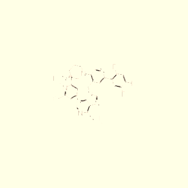 Nc1ncnc2c1ncn2Cc1cc(-c2cc(F)c(F)cc2F)ncc1N1CCC[C@](N)(c2cccc(Cl)n2)C1